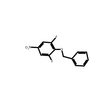 O=[N+]([O-])c1cc(F)c(OCc2ccccc2)c(F)c1